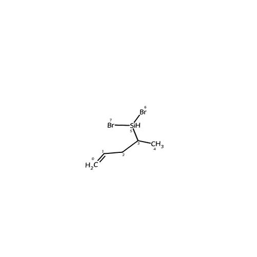 C=CCC(C)[SiH](Br)Br